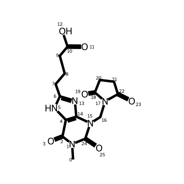 Cn1c(=O)c2[nH]c(CCCC(=O)O)nc2n(CN2C(=O)CCC2=O)c1=O